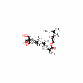 C=C(C)C(=O)O.C=C(C)C(=O)O.C=C(C)C(=O)O.C=C(C)C(=O)OCC1CO1.CCC(CO)(CO)CO